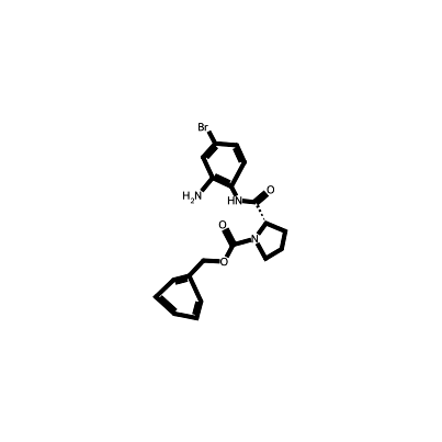 Nc1cc(Br)ccc1NC(=O)[C@@H]1CCCN1C(=O)OCc1ccccc1